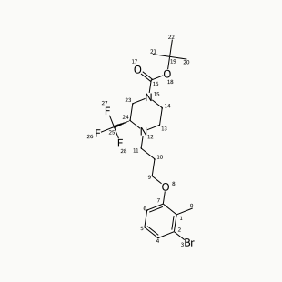 Cc1c(Br)cccc1OCCCN1CCN(C(=O)OC(C)(C)C)C[C@@H]1C(F)(F)F